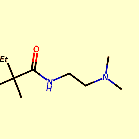 CCC(C)(C)C(=O)NCCN(C)C